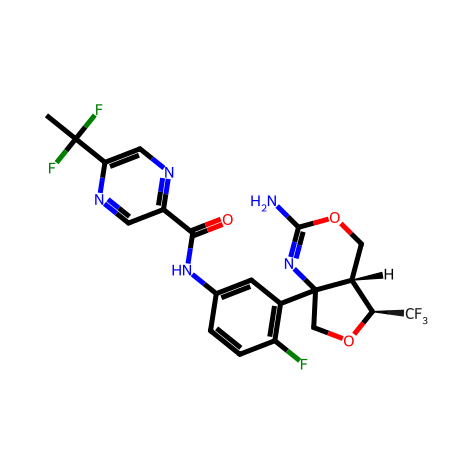 CC(F)(F)c1cnc(C(=O)Nc2ccc(F)c(C34CO[C@H](C(F)(F)F)[C@H]3COC(N)=N4)c2)cn1